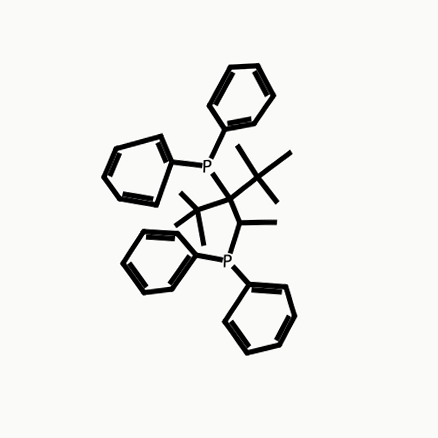 CC(P(c1ccccc1)c1ccccc1)C(P(c1ccccc1)c1ccccc1)(C(C)(C)C)C(C)(C)C